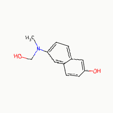 CN(CO)c1ccc2cc(O)ccc2c1